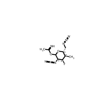 CC(=N)OC1O[C@H](CN=[N+]=[N-])[C@@H](C)[C@@H](F)[C@H]1N=[N+]=[N-]